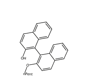 CCCCCOc1ccc2ccccc2c1-c1c(O)ccc2ccccc12